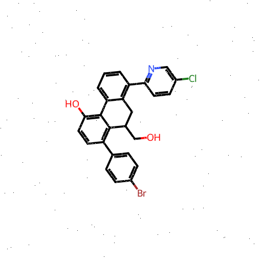 OCC1Cc2c(-c3ccc(Cl)cn3)cccc2-c2c(O)ccc(-c3ccc(Br)cc3)c21